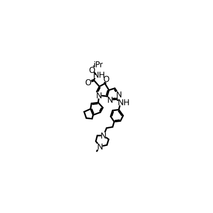 CC(C)ONC(=O)c1cn(-c2ccc3c(c2)CCC3)c2nc(Nc3ccc(CCN4CCN(C)CC4)cc3)ncc2c1=O